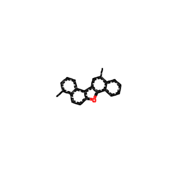 Cc1cc2c(oc3ccc4c(C)cccc4c32)c2ccccc12